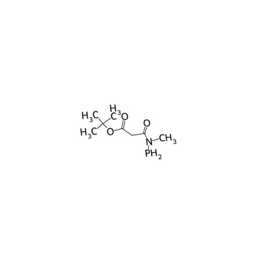 CN(P)C(=O)CC(=O)OC(C)(C)C